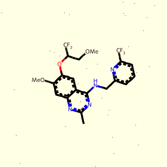 COCC(Oc1cc2c(NCc3cccc(C(F)(F)F)n3)nc(C)nc2cc1OC)C(F)(F)F